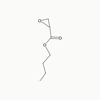 [CH2]CCCOC(=O)C1CO1